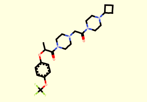 CC(Oc1ccc(OC(F)(F)F)cc1)C(=O)N1CCN(CC(=O)N2CCN(C3CCC3)CC2)CC1